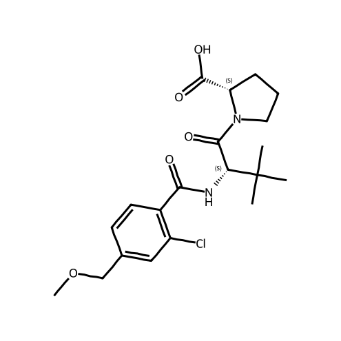 COCc1ccc(C(=O)N[C@H](C(=O)N2CCC[C@H]2C(=O)O)C(C)(C)C)c(Cl)c1